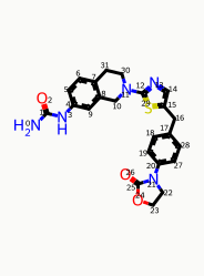 NC(=O)Nc1ccc2c(c1)CN(c1ncc(Cc3ccc(N4CCOC4=O)cc3)s1)CC2